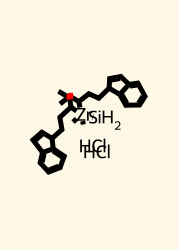 CC[CH](CCC1C=Cc2ccccc21)[Zr]([CH3])([CH3])(=[SiH2])[CH](CC)CCC1C=Cc2ccccc21.Cl.Cl